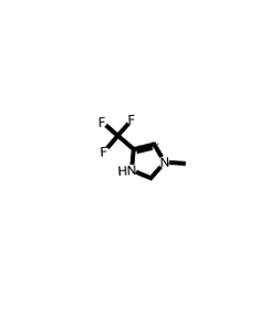 CN1[C]=C(C(F)(F)F)NC1